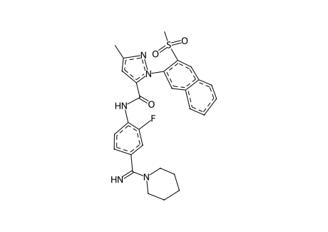 Cc1cc(C(=O)Nc2ccc(C(=N)N3CCCCC3)cc2F)n(-c2cc3ccccc3cc2S(C)(=O)=O)n1